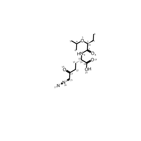 CC[C@H](OC(C)C)C(=O)N[C@@H](CCC(=O)C=[N+]=[N-])C(=O)O